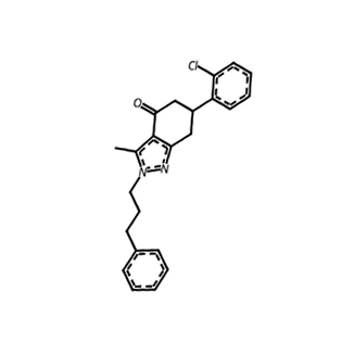 Cc1c2c(nn1CCCc1ccccc1)CC(c1ccccc1Cl)CC2=O